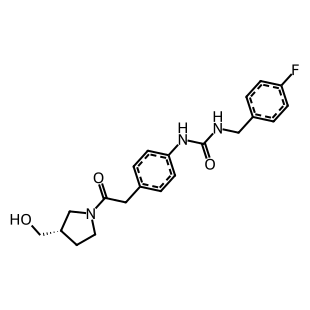 O=C(NCc1ccc(F)cc1)Nc1ccc(CC(=O)N2CC[C@H](CO)C2)cc1